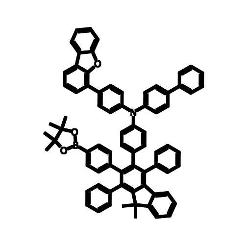 CC1(C)c2ccccc2-c2c(-c3ccccc3)c(-c3ccc(N(c4ccc(-c5ccccc5)cc4)c4ccc(-c5cccc6c5oc5ccccc56)cc4)cc3)c(-c3ccc(B4OC(C)(C)C(C)(C)O4)cc3)c(-c3ccccc3)c21